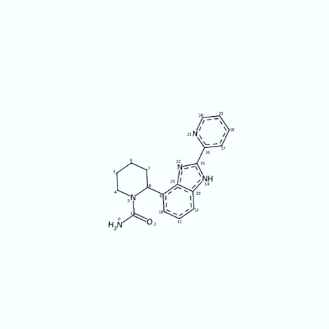 NC(=O)N1CCCCC1c1cccc2[nH]c(-c3ccccn3)nc12